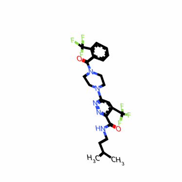 CC(C)CCNC(=O)c1nnc(N2CCN(C(=O)c3ccccc3C(F)(F)F)CC2)cc1C(F)(F)F